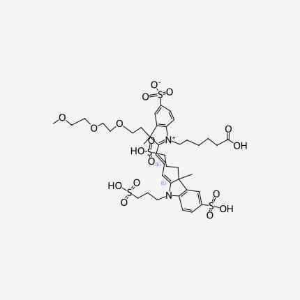 COCCOCCOCCC1(C)C(/C=C/C=C2/N(CCCS(=O)(=O)O)c3ccc(S(=O)(=O)O)cc3C2(C)CCCS(=O)(=O)O)=[N+](CCCCCC(=O)O)c2ccc(S(=O)(=O)[O-])cc21